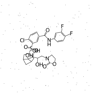 O=C(Nc1ccc(F)c(F)c1)c1ccc(Cl)c(S(=O)(=O)C2CC3CC(C2)C3(O)C(O)C(O)CN2CCOC2=O)c1